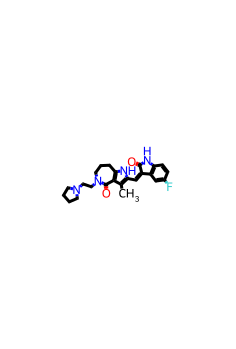 Cc1c(C=C2C(=O)Nc3ccc(F)cc32)[nH]c2c1C(=O)N(CCN1CCCC1)CCC2